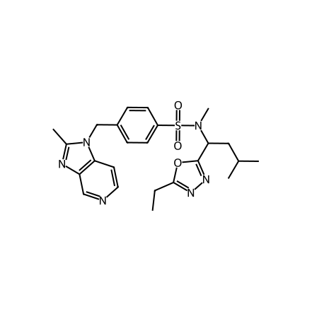 CCc1nnc(C(CC(C)C)N(C)S(=O)(=O)c2ccc(Cn3c(C)nc4cnccc43)cc2)o1